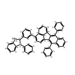 c1ccc(-c2c3c(c(-c4ccccc4)c4ccccc24)-c2ccc(-c4cccc(C5Nc6ccccc6N5c5ccccc5)c4)c4cccc-3c24)cc1